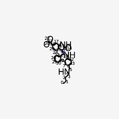 CCCCNCc1ccc(N/C(=C2\C(=O)Nc3cc(C(=O)OC)ccc32)c2ccccc2)cc1